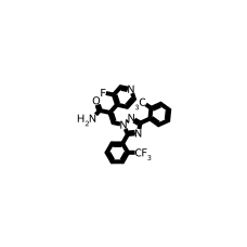 NC(=O)/C(=C/n1nc(-c2ccccc2C(F)(F)F)nc1-c1ccccc1C(F)(F)F)c1ccncc1F